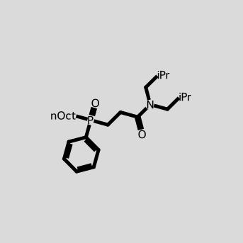 CCCCCCCCP(=O)(CCC(=O)N(CC(C)C)CC(C)C)c1ccccc1